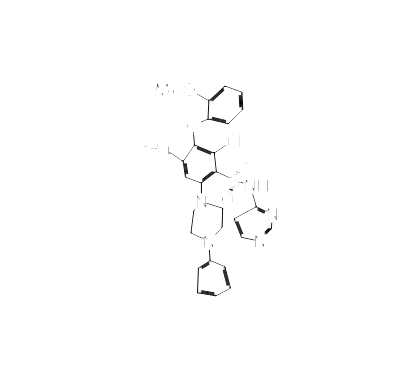 COc1ccccc1Oc1c(C(C)(C)C)cc(N2CCN(c3ccccc3)CC2)c(S(=O)(=O)Nc2ccncn2)c1Cl